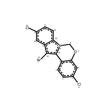 Clc1ccc2c(c1)OCn1c-2c(Br)c2cc(Cl)ccc21